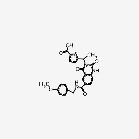 COc1ccc(CNC(=O)c2ccc3[nH]c(=O)n(C(C)c4ccc(C(=O)O)s4)c(=O)c3c2)cc1